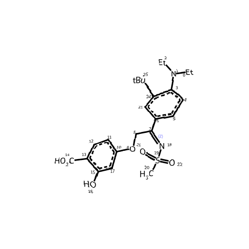 CCN(CC)c1ccc(/C(COc2ccc(C(=O)O)c(O)c2)=N/S(C)(=O)=O)cc1C(C)(C)C